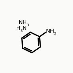 N.N.Nc1ccccc1